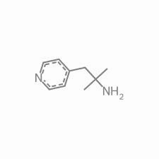 CC(C)(N)Cc1ccncc1